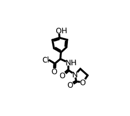 O=C(Cl)C(NC(=O)N1CCOC1=O)c1ccc(O)cc1